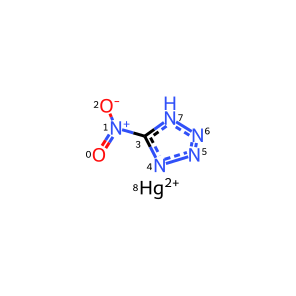 O=[N+]([O-])c1nnn[nH]1.[Hg+2]